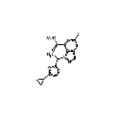 COC(=O)c1cc(Cl)cc2cnn(C(C)c3ccc(C4CC4)s3)c12